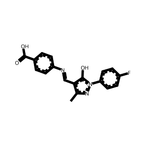 Cc1nn(-c2ccc(F)cc2)c(O)c1C=Nc1ccc(C(=O)O)cc1